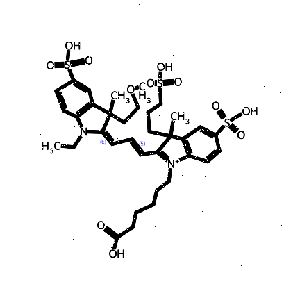 CCN1/C(=C/C=C/C2=[N+](CCCCCC(=O)O)c3ccc(S(=O)(=O)O)cc3C2(C)CCCS(=O)(=O)O)C(C)(CCOC)c2cc(S(=O)(=O)O)ccc21